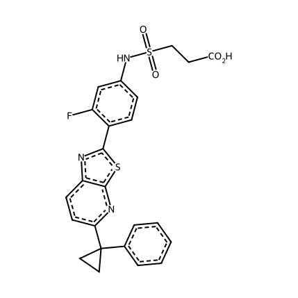 O=C(O)CCS(=O)(=O)Nc1ccc(-c2nc3ccc(C4(c5ccccc5)CC4)nc3s2)c(F)c1